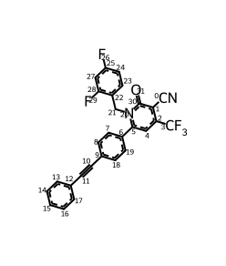 N#Cc1c(C(F)(F)F)cc(-c2ccc(C#Cc3ccccc3)cc2)n(Cc2ccc(F)cc2F)c1=O